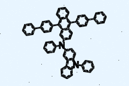 c1ccc(-c2ccc(-c3c4ccccc4c(-c4ccc(-c5ccccc5)cc4)c4cc(N(c5ccccc5)c5ccc6c(c5)c5ccccc5n6-c5ccccc5)ccc34)cc2)cc1